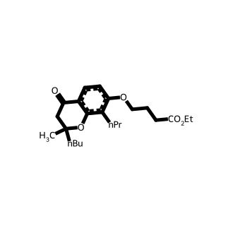 CCCCC1(C)CC(=O)c2ccc(OCCCC(=O)OCC)c(CCC)c2O1